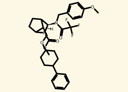 COC(=O)N1C2CCC([C@H]2COC2CCC(c3ccccc3)CC2)[C@H]1N(Cc1ccc(OC)cc1)C(=O)C(F)(F)F